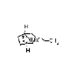 CCC[C@@H]1C[C@H]2CC[C@@H](C1)N2